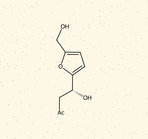 CC(=O)C[C@@H](O)c1ccc(CO)o1